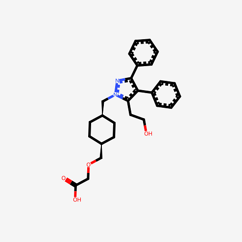 O=C(O)COC[C@H]1CC[C@@H](Cn2nc(-c3ccccc3)c(-c3ccccc3)c2CCO)CC1